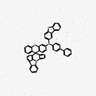 c1ccc(-c2ccc(N(c3ccc4c(c3)Sc3ccccc3C43c4ccccc4-n4c5ccccc5c5cccc3c54)c3ccc4sc5ccccc5c4c3)cc2)cc1